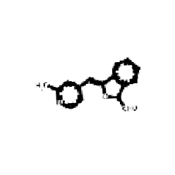 Cc1cc(C=C2OC(C=O)c3ccccc32)ccn1